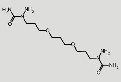 NC(=O)N(N)CCCOCCCOCCCN(N)C(N)=O